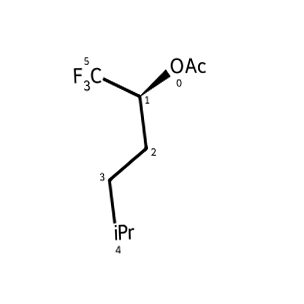 CC(=O)O[C@@H](CCC(C)C)C(F)(F)F